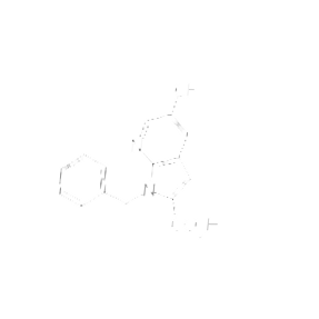 O=C(O)c1cc2cc(C(F)(F)F)cnc2n1Cc1ccccc1